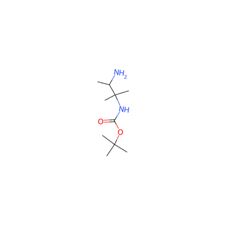 CC(N)C(C)(C)NC(=O)OC(C)(C)C